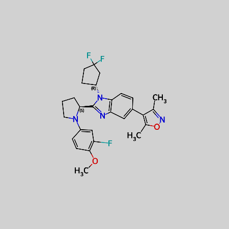 COc1ccc(N2CCC[C@H]2c2nc3cc(-c4c(C)noc4C)ccc3n2[C@@H]2CCC(F)(F)C2)cc1F